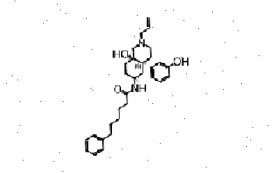 C=CCN1CC[C@@]2(c3cccc(O)c3)C[C@@H](NC(=O)CCCCCc3ccccc3)CC[C@]2(O)C1